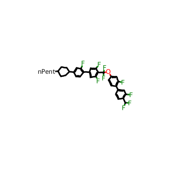 CCCCCC1CCC(c2ccc(-c3cc(F)c(C(F)(F)Oc4ccc(-c5ccc(C(F)F)c(F)c5)c(F)c4)c(F)c3)c(F)c2)CC1